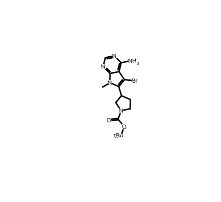 Cn1c(C2CCN(C(=O)OC(C)(C)C)C2)c(Br)c2c(N)ncnc21